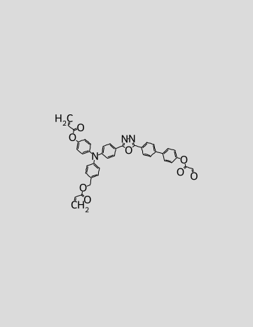 C=CC(=O)OCc1ccc(N(c2ccc(OC(=O)C=C)cc2)c2ccc(-c3nnc(-c4ccc(-c5ccc(OC(=O)C=O)cc5)cc4)o3)cc2)cc1